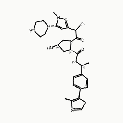 Cc1ncsc1-c1ccc([C@H](C)NC(=O)[C@@H]2C[C@@H](O)CN2C(=O)C(c2cc(N3CCNCC3)n(C)n2)C(C)C)cc1